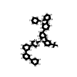 CC(C)(C)c1ccc2c(c1)c1cc(-c3ccc4c5ccccc5n(-c5ccccc5)c4c3)ccc1n2-c1ncc(-c2cccc(-c3cccc(-c4ccccc4)c3)c2)cn1